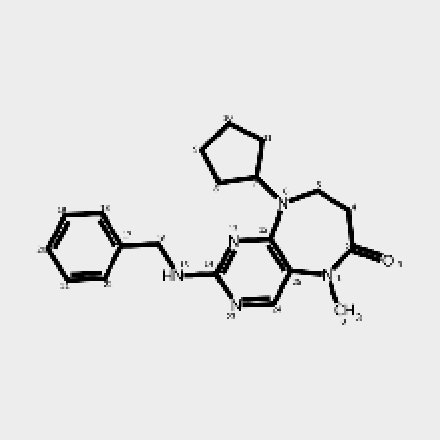 CN1C(=O)CCN(C2CCCC2)c2nc(NCc3ccccc3)ncc21